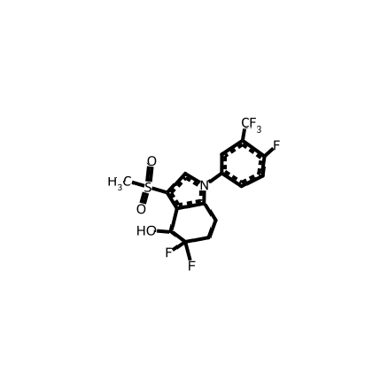 CS(=O)(=O)c1cn(-c2ccc(F)c(C(F)(F)F)c2)c2c1C(O)C(F)(F)CC2